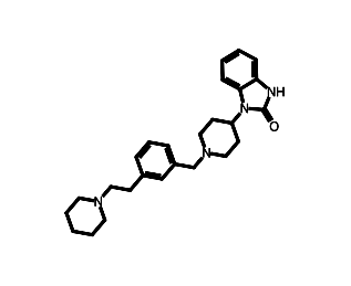 O=c1[nH]c2ccccc2n1C1CCN(Cc2cccc(CCN3CCCCC3)c2)CC1